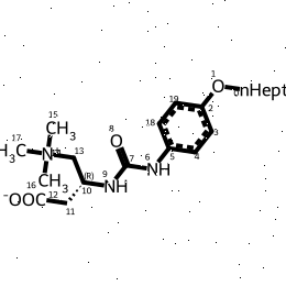 CCCCCCCOc1ccc(NC(=O)N[C@H](CC(=O)[O-])C[N+](C)(C)C)cc1